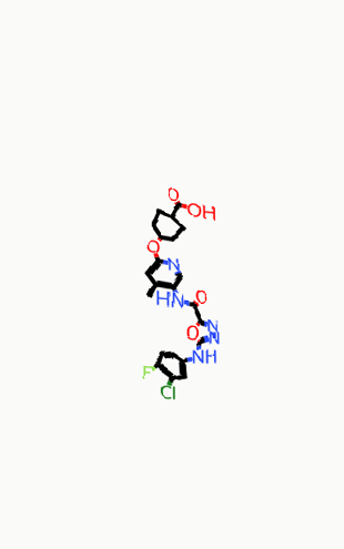 Cc1cc(OC2CCC(C(=O)O)CC2)ncc1NC(=O)c1nnc(Nc2ccc(F)c(Cl)c2)o1